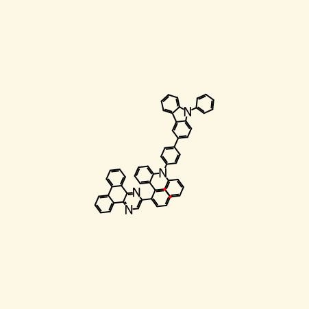 c1ccc(N(c2ccc(-c3ccc4c(c3)c3ccccc3n4-c3ccccc3)cc2)c2ccccc2-c2ccccc2-c2cnc3c4ccccc4c4ccccc4c3n2)cc1